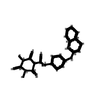 CN1C(=O)C(C(=O)Nc2ccc(Oc3ccc4ccccc4n3)cc2)C(=O)N(C)C1=O